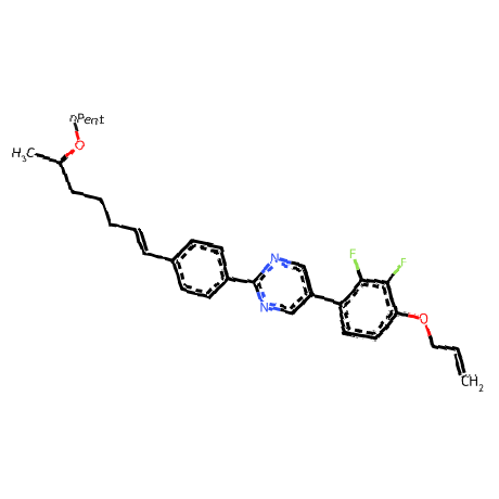 C=CCOc1ccc(-c2cnc(-c3ccc(C=CCCCC(C)OCCCCC)cc3)nc2)c(F)c1F